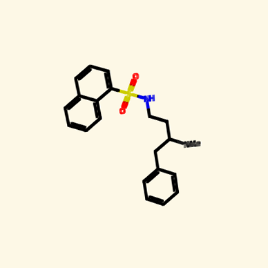 CNC(CCNS(=O)(=O)c1cccc2ccccc12)Cc1ccccc1